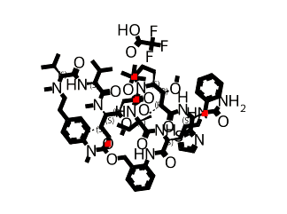 CC[C@H](C)[C@@H]([C@@H](CC(=O)N1CCC[C@H]1[C@H](OC)[C@@H](C)C(=O)N[C@@H](Cc1ccccc1)c1nccs1)OC)N(C)C(=O)[C@@H](NC(=O)[C@H](C(C)C)N(C)CCc1ccc(N(C)C(=O)OCc2ccccc2NC(=O)[C@H](CCCNC(N)=O)NC(=O)[C@](C)(CC)NC(=O)OC(C)(C)C)cc1)C(C)C.O=C(O)C(F)(F)F